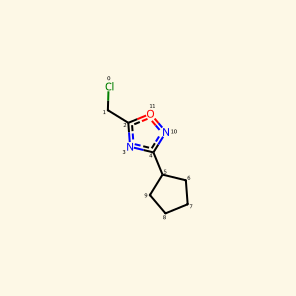 ClCc1nc(C2CCCC2)no1